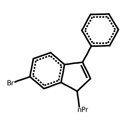 CCCC1C=C(c2ccccc2)c2ccc(Br)cc21